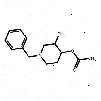 CC(=O)OC1CCN(Cc2ccccc2)CC1C